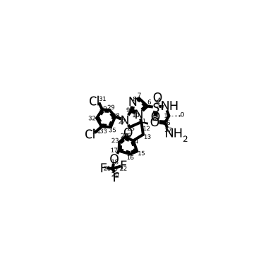 C[C@@H](NS(=O)(=O)c1cnc2n1[C@](C)(Cc1ccc(OC(F)(F)F)cc1)C(=O)N2c1cc(Cl)cc(Cl)c1)C(N)=O